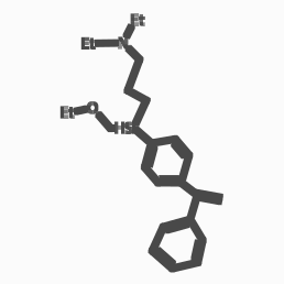 C=C(c1ccccc1)c1ccc([SiH](CCCN(CC)CC)COCC)cc1